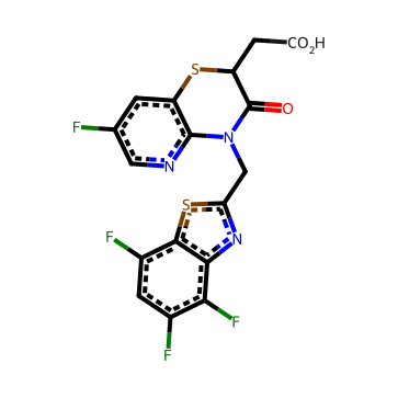 O=C(O)CC1Sc2cc(F)cnc2N(Cc2nc3c(F)c(F)cc(F)c3s2)C1=O